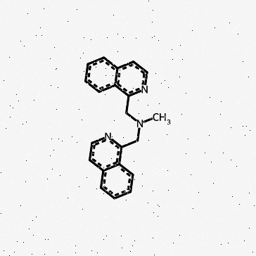 CN(Cc1nccc2ccccc12)Cc1nccc2ccccc12